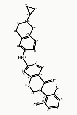 O=C1c2cnc(Nc3ccc4c(c3)CCN(C3CC3)C4)nc2SCN1c1c(Cl)cccc1Cl